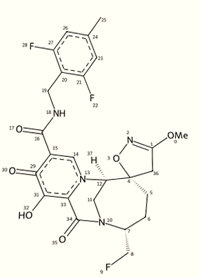 COC1=NO[C@@]2(CC[C@H](CF)N3C[C@H]2n2cc(C(=O)NCc4c(F)cc(C)cc4F)c(=O)c(O)c2C3=O)C1